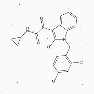 O=C(NC1CC1)C(=O)c1c(Cl)n(Cc2ccc(Cl)cc2Cl)c2ccccc12